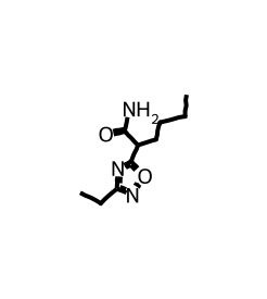 CCCCC(C(N)=O)c1nc(CC)no1